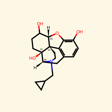 Oc1ccc2c3c1O[C@H]1C(O)CC[C@@]4(O)[C@@H](C2)N(CC2CC2)CC[C@]314